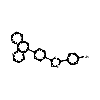 CC(C)(C)c1ccc(-c2nnc(-c3ccc(-c4cc5cccnc5c5ncccc45)cc3)o2)cc1